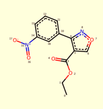 CCOC(=O)c1conc1-c1cccc([N+](=O)[O-])c1